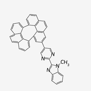 Cn1c(-c2ncc(-c3cc4ccc5cccc6c7cccc8ccc9cccc(c(c3)c4c56)c9c87)cn2)nc2ccccc21